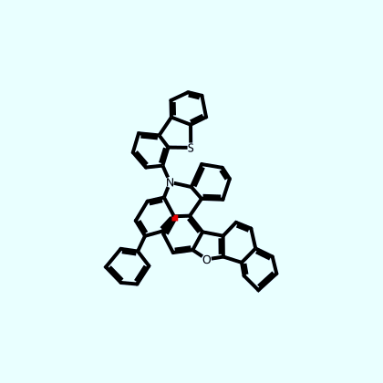 c1ccc(-c2ccc(N(c3ccccc3-c3cccc4oc5c6ccccc6ccc5c34)c3cccc4c3sc3ccccc34)cc2)cc1